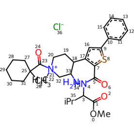 COC(=O)C(NC(=O)c1sc(-c2ccccc2)cc1C1CC[N+](C)(C(=O)C2(C)CCCCC2)CC1N)C(C)C.[Cl-]